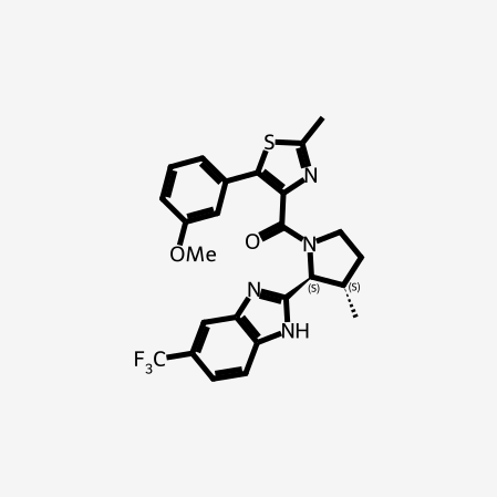 COc1cccc(-c2sc(C)nc2C(=O)N2CC[C@H](C)[C@H]2c2nc3cc(C(F)(F)F)ccc3[nH]2)c1